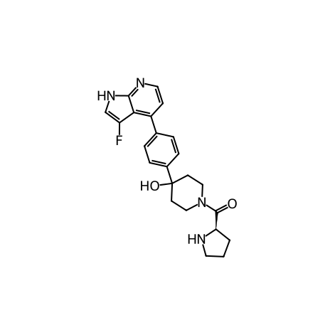 O=C([C@H]1CCCN1)N1CCC(O)(c2ccc(-c3ccnc4[nH]cc(F)c34)cc2)CC1